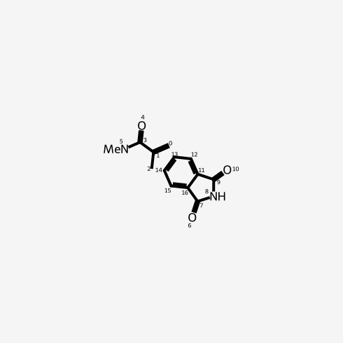 C=C(C)C(=O)NC.O=C1NC(=O)c2ccccc21